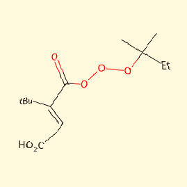 CCC(C)(C)OOOC(=O)C(=CC(=O)O)C(C)(C)C